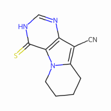 N#Cc1c2n(c3c(=S)[nH]cnc13)CCCC2